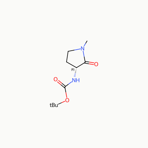 CN1CC[C@@H](NC(=O)OC(C)(C)C)C1=O